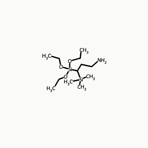 CCO[Si](OCC)(OCC)C(CCN)[Si](C)(C)C